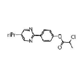 CCCc1cnc(-c2ccc(OC(=O)C(C)Cl)cc2)nc1